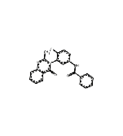 Cc1ccc(NC(=O)c2ccccc2)cc1-n1c(C)nc2ccccc2c1=O